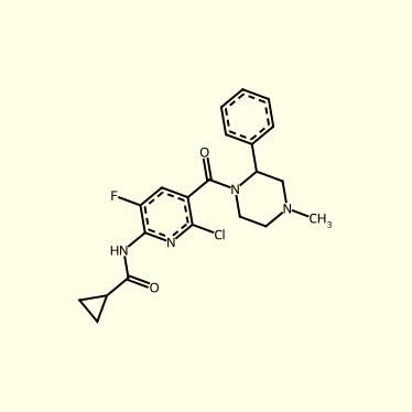 CN1CCN(C(=O)c2cc(F)c(NC(=O)C3CC3)nc2Cl)C(c2ccccc2)C1